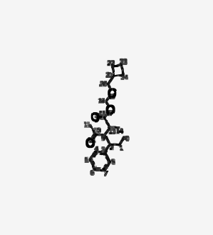 CCC(c1ccccc1)C(C(C)=O)C(C)C(=O)OCOCC1CCC1